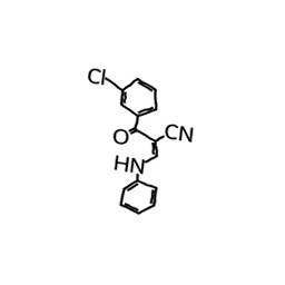 N#CC(=CNc1ccccc1)C(=O)c1cccc(Cl)c1